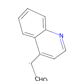 O=C[CH]c1ccnc2ccccc12